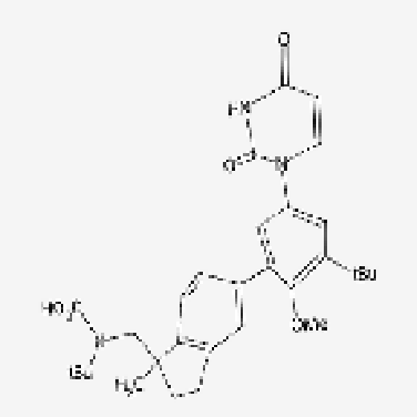 COc1c(-c2ccc3c(c2)CCC3(C)CN(C(=O)O)C(C)(C)C)cc(-n2ccc(=O)[nH]c2=O)cc1C(C)(C)C